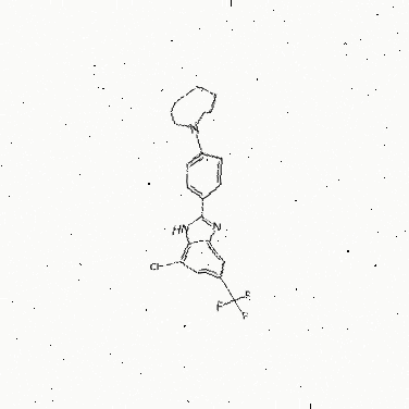 FC(F)(F)c1cc(Cl)c2[nH]c(-c3ccc(N4CCCCC4)cc3)nc2c1